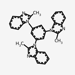 Cc1nc2ccccc2n1-c1cc(-n2c(C)nc3ccccc32)cc(-n2c(C)nc3ccccc32)c1